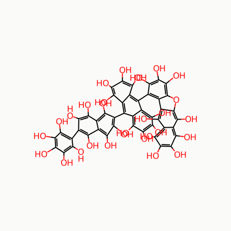 Oc1c(O)c(O)c(-c2c(O)c(O)c3c(O)c(-c4c5c(O)c(O)c(O)c(O)c5c(-c5c(O)c(O)c(O)c6oc7c(O)c8c(O)c(O)c(O)c(O)c8c(O)c7c56)c5c(O)c(O)c(O)c(O)c45)c(O)c(O)c3c2O)c(O)c1O